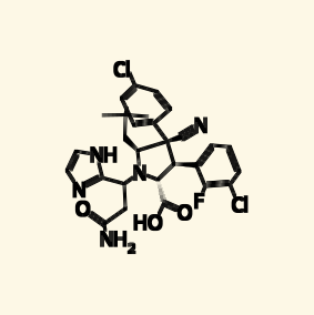 CC(C)(C)C[C@@H]1N(C(CC(N)=O)c2ncc[nH]2)[C@@H](C(=O)O)[C@H](c2cccc(Cl)c2F)[C@@]1(C#N)c1ccc(Cl)cc1